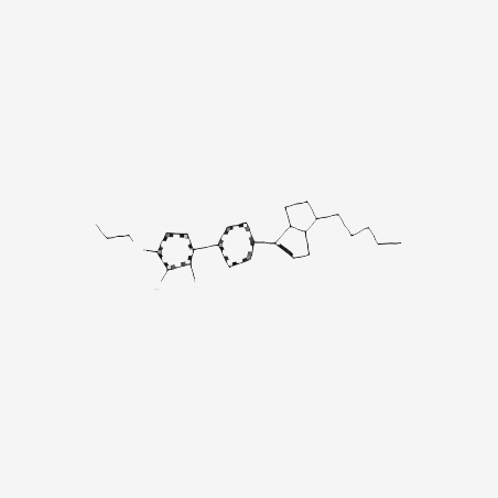 CCCCCC1CCC2C(c3ccc(-c4ccc(OCCC)c(F)c4F)cc3)=CCC12